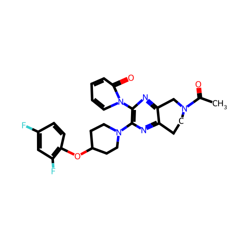 CC(=O)N1CCc2nc(N3CCC(Oc4ccc(F)cc4F)CC3)c(-n3ccccc3=O)nc2C1